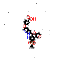 O=C(O)c1ccc(Oc2cnc3[nH]c(C(OC4CCOCC4)c4ccc(S(=O)(=O)C5CC5)cc4)cc3c2)cc1